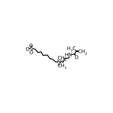 C=C(C)C(=O)NCCC[N+](C)(C)CCCCCCCCS(=O)(=O)[O-]